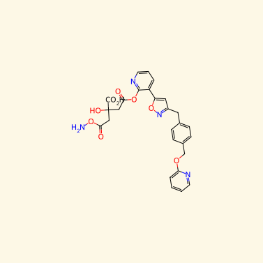 NOC(=O)CC(O)(CC(=O)Oc1ncccc1-c1cc(Cc2ccc(COc3ccccn3)cc2)no1)C(=O)O